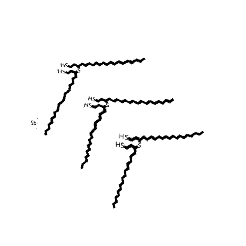 CCCCCCCCCCCCCCCCCC(CCS)SC(CCS)CCCCCCCCCCCCCCCCC.CCCCCCCCCCCCCCCCCC(CCS)SC(CCS)CCCCCCCCCCCCCCCCC.CCCCCCCCCCCCCCCCCC(CCS)SC(CCS)CCCCCCCCCCCCCCCCC.[Sb]